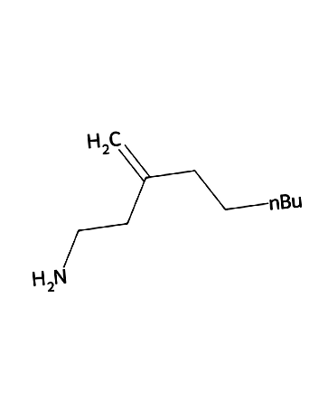 C=C(CCN)CCCCCC